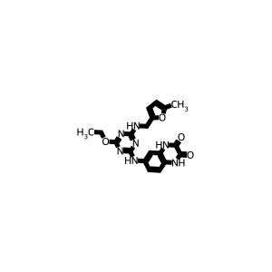 CCOc1nc(NCc2ccc(C)o2)nc(Nc2ccc3[nH]c(=O)c(=O)[nH]c3c2)n1